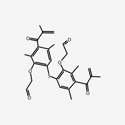 C=C(C)C(=O)c1c(C)cc(Sc2cc(C)c(C(=O)C(=C)C)c(C)c2OCC=O)c(OCC=O)c1C